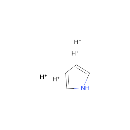 [H+].[H+].[H+].[H+].c1cc[nH]c1